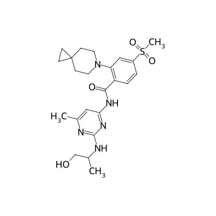 Cc1cc(NC(=O)c2ccc(S(C)(=O)=O)cc2N2CCC3(CC2)CC3)nc(NC(C)CO)n1